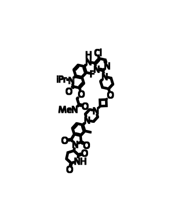 CNC(=O)COc1cc2c(F)c(Nc3nc(N4CCC(O[C@H]5C[C@H](N6CCN(c7ccc8c(c7C)C(=O)N(C7CCC(=O)NC7=O)C8=O)CC6)C5)CC4)ncc3Cl)ccc2n(C(C)C)c1=O